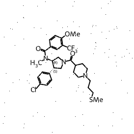 COc1ccc(C(=O)N(C)[C@H]2CN(C(=O)C3CCN(CCCSC)CC3)C[C@@H]2c2ccc(Cl)cc2)cc1C(F)(F)F